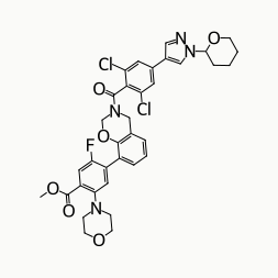 COC(=O)c1cc(F)c(-c2cccc3c2OCN(C(=O)c2c(Cl)cc(-c4cnn(C5CCCCO5)c4)cc2Cl)C3)cc1N1CCOCC1